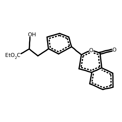 CCOC(=O)C(O)Cc1cccc(-c2cc3ccccc3c(=O)o2)c1